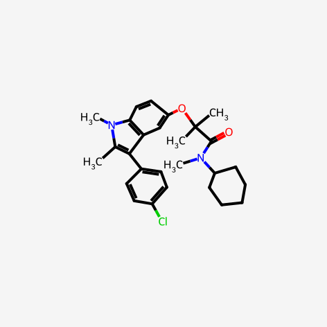 Cc1c(-c2ccc(Cl)cc2)c2cc(OC(C)(C)C(=O)N(C)C3CCCCC3)ccc2n1C